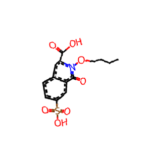 CCCCOn1c(C(=O)O)cc2ccc(S(=O)(=O)O)cc2c1=O